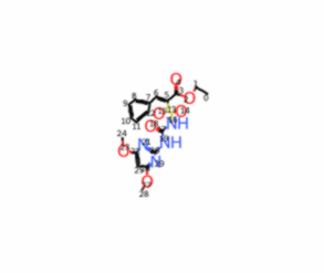 CCOC(=O)C(=Cc1ccccc1)S(=O)(=O)NC(=O)Nc1nc(OC)cc(OC)n1